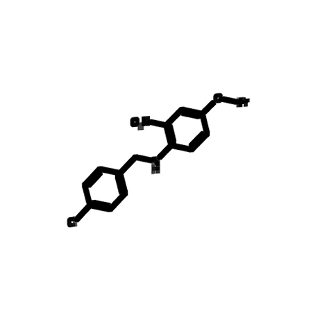 CC(C)Oc1ccc(NCc2ccc(Cl)cc2)c([N+](=O)[O-])c1